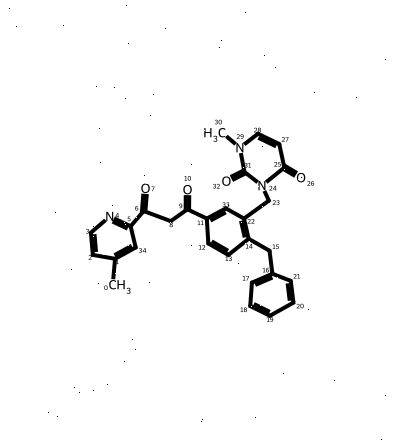 Cc1ccnc(C(=O)CC(=O)c2ccc(Cc3ccccc3)c(Cn3c(=O)ccn(C)c3=O)c2)c1